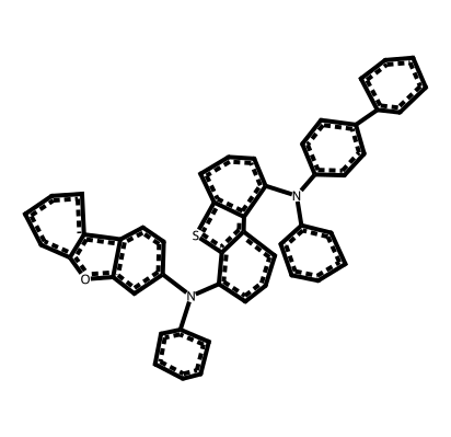 c1ccc(-c2ccc(N(c3ccccc3)c3cccc4sc5c(N(c6ccccc6)c6ccc7c(c6)oc6ccccc67)cccc5c34)cc2)cc1